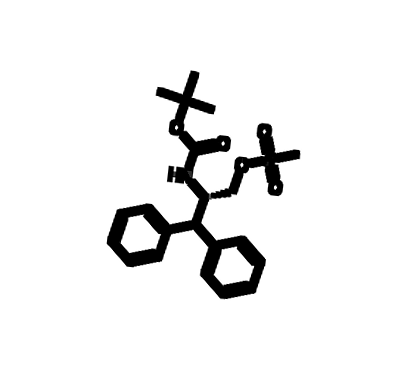 CC(C)(C)OC(=O)N[C@H](COS(C)(=O)=O)C(c1ccccc1)c1ccccc1